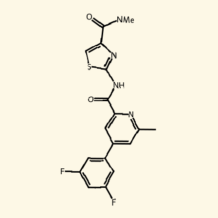 CNC(=O)c1csc(NC(=O)c2cc(-c3cc(F)cc(F)c3)cc(C)n2)n1